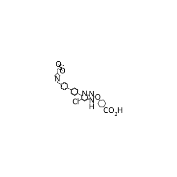 CS(=O)(=O)CC1CN(Cc2ccc(-c3ccc(-c4nc5nc(O[C@H]6CC[C@H](C(=O)O)CC6)[nH]c5cc4Cl)cc3)cc2)C1